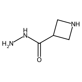 NNC(=O)C1CNC1